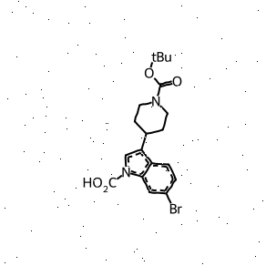 CC(C)(C)OC(=O)N1CCC(c2cn(C(=O)O)c3cc(Br)ccc23)CC1